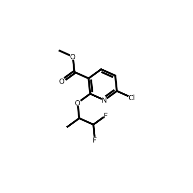 COC(=O)c1ccc(Cl)nc1OC(C)C(F)F